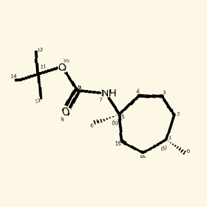 C[C@H]1CCC[C@](C)(NC(=O)OC(C)(C)C)CC1